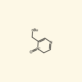 CCCCCC1=CN=CC[N+]1=O